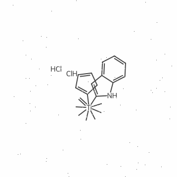 Cl.Cl.[CH2]=[Ti]([CH3])([CH3])([CH3])([CH3])([CH3])([CH3])([C]1=CC=CC1)[c]1cc2ccccc2[nH]1